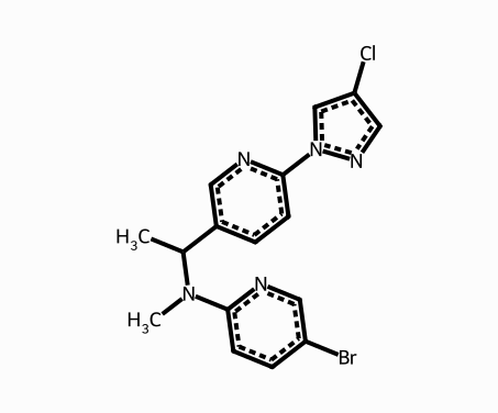 CC(c1ccc(-n2cc(Cl)cn2)nc1)N(C)c1ccc(Br)cn1